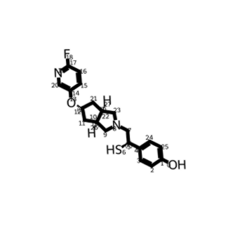 Oc1ccc([C@@H](S)CN2C[C@H]3C[C@H](Oc4ccc(F)nc4)C[C@H]3C2)cc1